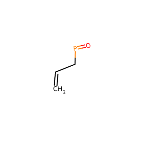 C=CCP=O